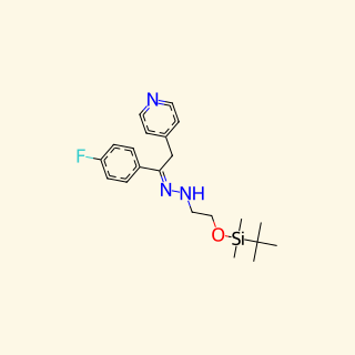 CC(C)(C)[Si](C)(C)OCCN/N=C(\Cc1ccncc1)c1ccc(F)cc1